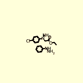 CCOC(=O)CN(N)c1ccc(Cl)cc1.NNc1ccccc1